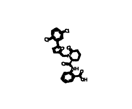 O=C(O)c1ccccc1NC(=O)[C@@H]1CCCC(=O)N1Cc1ccc(-c2cc(Cl)ccc2Cl)o1